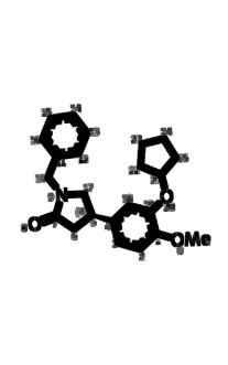 COc1ccc([C@H]2CC(=O)N(Cc3ccccc3)C2)cc1OC1CCCC1